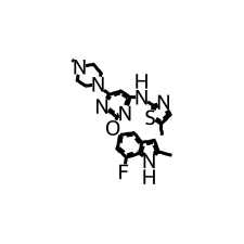 Cc1cc2cc(Oc3nc(Nc4ncc(C)s4)cc(N4CCN(C)CC4)n3)cc(F)c2[nH]1